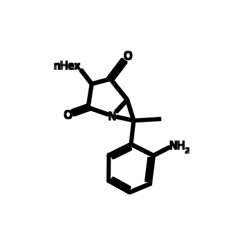 CCCCCCC1C(=O)C2N(C1=O)C2(C)c1ccccc1N